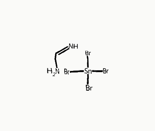 N=CN.[Br][Sn]([Br])([Br])[Br]